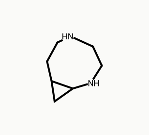 C1CNC2CC2CCN1